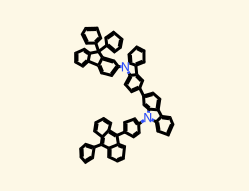 c1ccc(-c2c3ccccc3c(-c3ccc(-n4c5ccccc5c5ccc(-c6ccc7c(c6)c6ccccc6n7-c6ccc7c(c6)C(c6ccccc6)(c6ccccc6)c6ccccc6-7)cc54)cc3)c3ccccc23)cc1